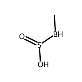 CBS(=O)O